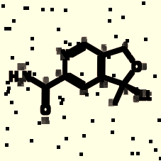 CC[C@]1(C)OCc2cnc(C(N)=O)cc21